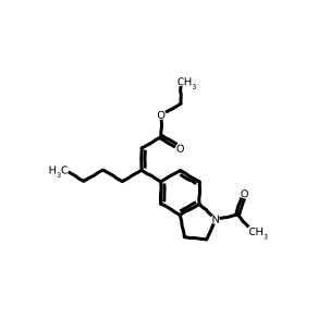 CCCC/C(=C/C(=O)OCC)c1ccc2c(c1)CCN2C(C)=O